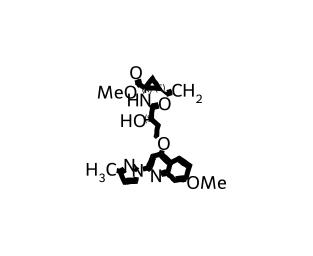 C=C[C@@H]1C[C@]1(NC(=O)[C@@H](O)CCOc1cc(-n2ccc(C)n2)nc2cc(OC)ccc12)C(=O)OC